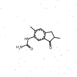 Cc1cc2c(cc1NC(N)=O)C(=O)C(C)C2